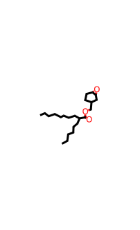 CCCCCCCCC(CCCCCC)C(=O)OCC1CCC2OC2C1